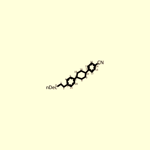 CCCCCCCCCCCCc1ccc(C2CCC(c3ccc(C#N)cc3)CC2)cc1